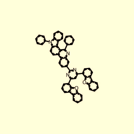 c1ccc(-c2nc3cc(-c4nc(-c5cccc6c5oc5ccccc56)cc(-c5cccc6c5oc5ccccc56)n4)ccc3c3ccc4c(c5ccccc5n4-c4ccccc4)c23)cc1